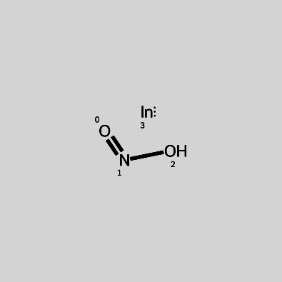 O=NO.[In]